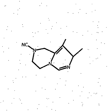 CC1=C2CN(C#N)CCN2C=NC1C